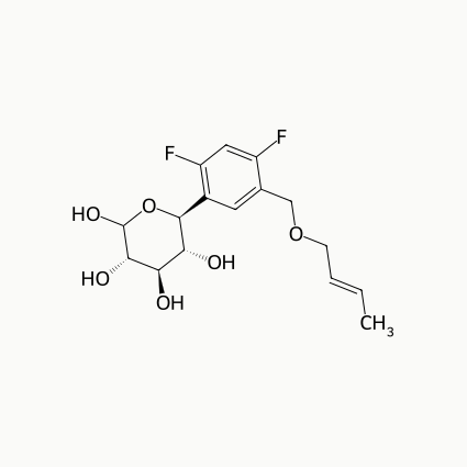 C/C=C/COCc1cc([C@@H]2OC(O)[C@@H](O)[C@H](O)[C@H]2O)c(F)cc1F